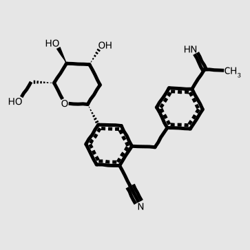 CC(=N)c1ccc(Cc2cc([C@H]3C[C@@H](O)[C@H](O)[C@@H](CO)O3)ccc2C#N)cc1